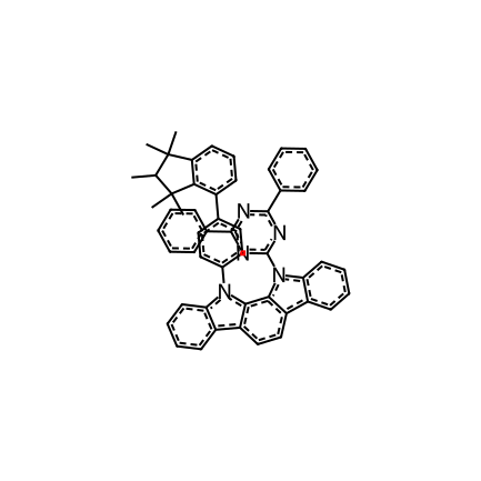 CC1C(C)(C)c2cccc(-c3ccc(-n4c5ccccc5c5ccc6c7ccccc7n(-c7nc(-c8ccccc8)nc(-c8ccccc8)n7)c6c54)cc3)c2C1(C)C